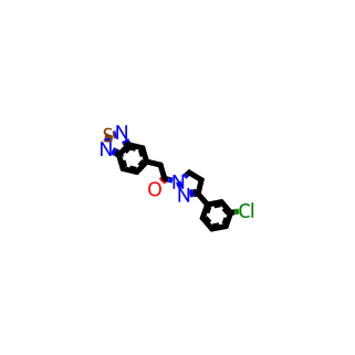 O=C(Cc1ccc2nsnc2c1)N1CCC(c2cccc(Cl)c2)=N1